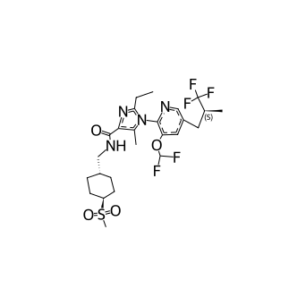 CCc1nc(C(=O)NC[C@H]2CC[C@H](S(C)(=O)=O)CC2)c(C)n1-c1ncc(C[C@H](C)C(F)(F)F)cc1OC(F)F